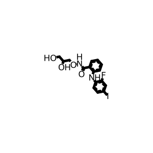 O=C(NOCC(O)CO)c1ccccc1Nc1ccc(I)cc1F